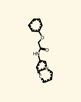 O=C(COc1ccccc1)Nc1cc2ccccn2c1